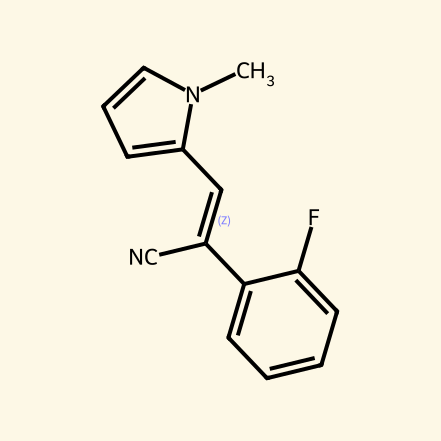 Cn1cccc1/C=C(\C#N)c1ccccc1F